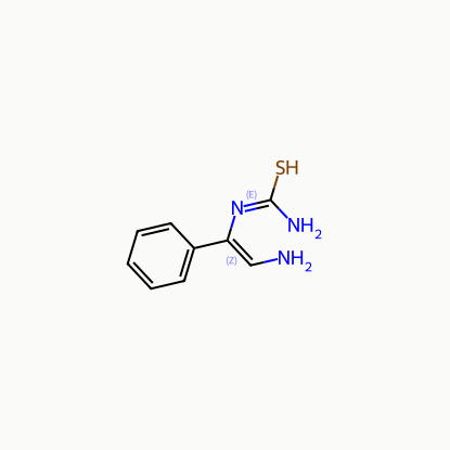 N/C=C(\N=C(/N)S)c1ccccc1